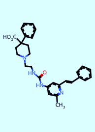 Cc1cc(NC(=O)NCCN2CCC(C(=O)O)(c3ccccc3)CC2)cc(C=Cc2ccccc2)n1